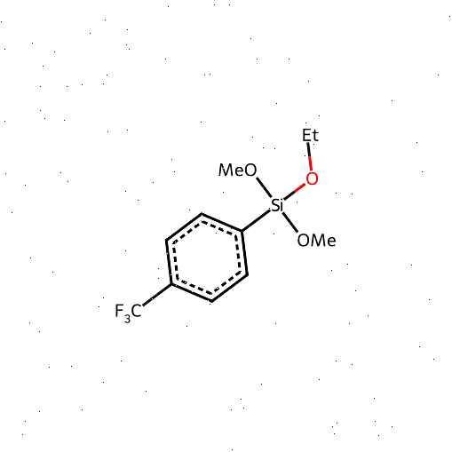 CCO[Si](OC)(OC)c1ccc(C(F)(F)F)cc1